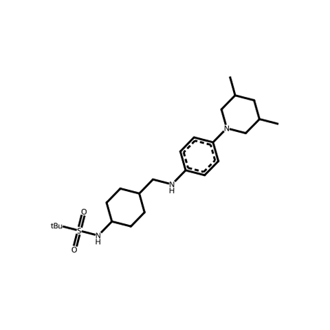 CC1CC(C)CN(c2ccc(NCC3CCC(NS(=O)(=O)C(C)(C)C)CC3)cc2)C1